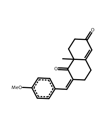 COc1ccc(C=C2CCC3=CC(=O)CCC3(C)C2=O)cc1